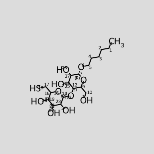 CCCCCCO[C@@H]1OC(CO)[C@@H](O[C@@H]2OC(CS)[C@H](O)[C@H](O)C2O)[C@H](O)C1O